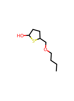 CCCCOCC1CCC(O)S1